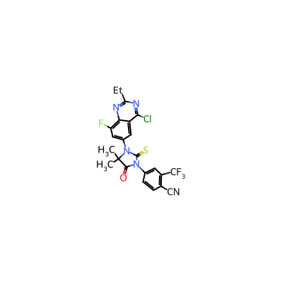 CCc1nc(Cl)c2cc(N3C(=S)N(c4ccc(C#N)c(C(F)(F)F)c4)C(=O)C3(C)C)cc(F)c2n1